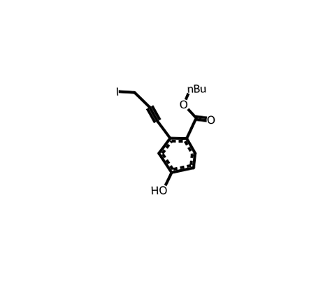 CCCCOC(=O)c1ccc(O)cc1C#CCI